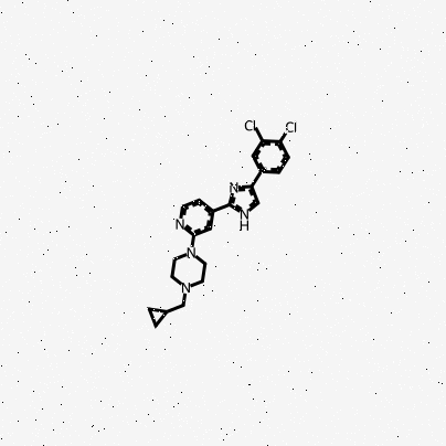 Clc1ccc(-c2c[nH]c(-c3ccnc(N4CCN(CC5CC5)CC4)c3)n2)cc1Cl